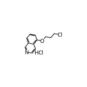 Cl.ClCCCOc1cccc2cnccc12